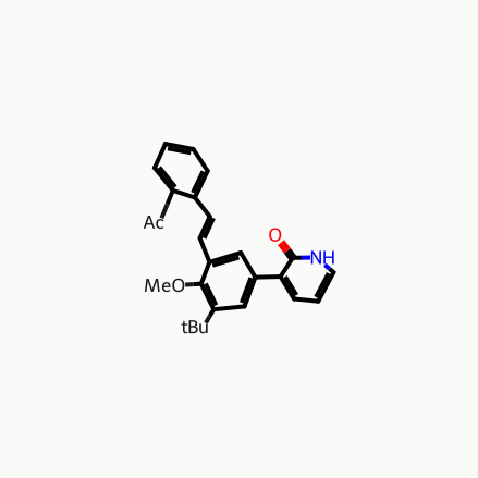 COc1c(C=Cc2ccccc2C(C)=O)cc(-c2ccc[nH]c2=O)cc1C(C)(C)C